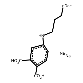 CCCCCCCCCCCCCNc1ccc(C(=O)O)c(C(=O)O)c1.[Na].[Na]